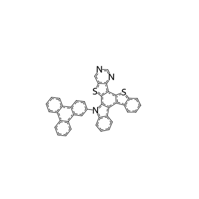 c1ccc2c(c1)sc1c3c4ncncc4sc3c3c(c4ccccc4n3-c3ccc4c5ccccc5c5ccccc5c4c3)c21